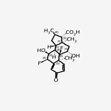 C[C@@H]1C[C@H]2[C@@H]3[C@H](O)[C@H](F)C4=CC(=O)C=C[C@]4(C)[C@@]3(F)[C@@H](O)C[C@]2(C)[C@H]1C(=O)O